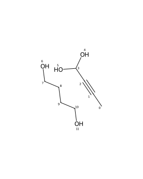 CC#CC(O)O.OCCCCO